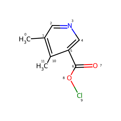 Cc1cncc(C(=O)OCl)c1C